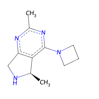 Cc1nc2c(c(N3CCC3)n1)[C@@H](C)NC2